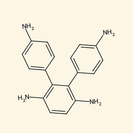 Nc1ccc(-c2c(N)ccc(N)c2-c2ccc(N)cc2)cc1